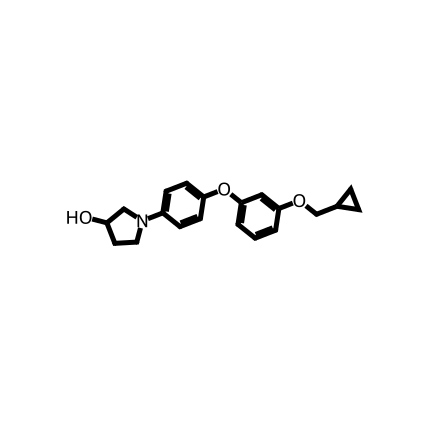 OC1CCN(c2ccc(Oc3cccc(OCC4CC4)c3)cc2)C1